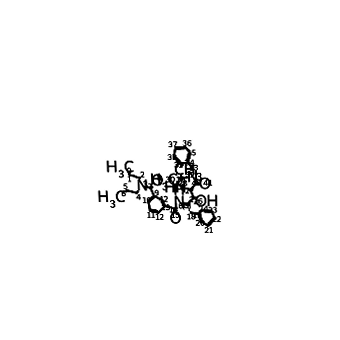 CCCN(CCC)C(=O)c1cccc(C(=O)N[C@@H](Cc2ccccc2)C(O)C2NC(C)(C)N(Cc3ccccc3)C2=O)c1